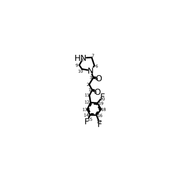 O=C(CC(=O)N1CCNCC1)Cc1cc(F)c(F)cc1F